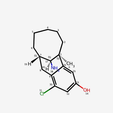 C[C@]12CCCCC[C@@H](Cc3c(Cl)cc(O)cc31)[C@@H]2N